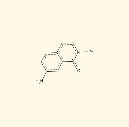 CC(C)n1ccc2ccc(N)cc2c1=O